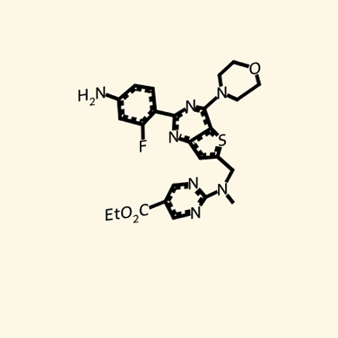 CCOC(=O)c1cnc(N(C)Cc2cc3nc(-c4ccc(N)cc4F)nc(N4CCOCC4)c3s2)nc1